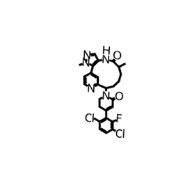 CC1CCCC(N2CCC(c3c(Cl)ccc(Cl)c3F)=CC2=O)c2cc(ccn2)-c2c(cnn2C)NC1=O